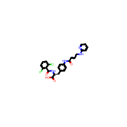 O=C(/C=C/CNc1ccccn1)Nc1ccc(C[C@H](NC(=O)c2c(Cl)cccc2Cl)C(=O)O)cc1